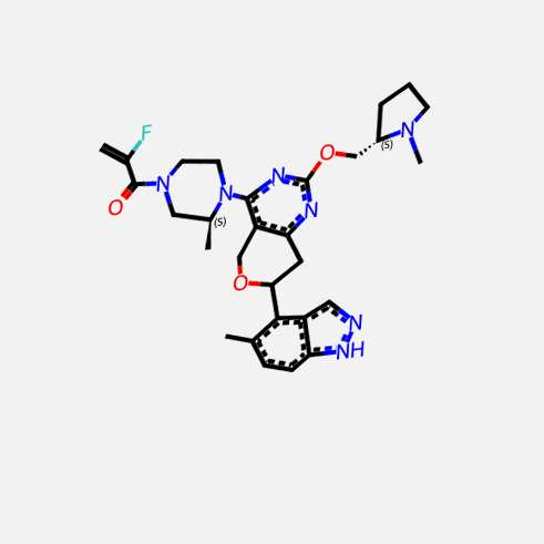 C=C(F)C(=O)N1CCN(c2nc(OC[C@@H]3CCCN3C)nc3c2COC(c2c(C)ccc4[nH]ncc24)C3)[C@@H](C)C1